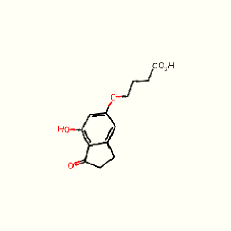 O=C(O)CCCOc1cc(O)c2c(c1)CCC2=O